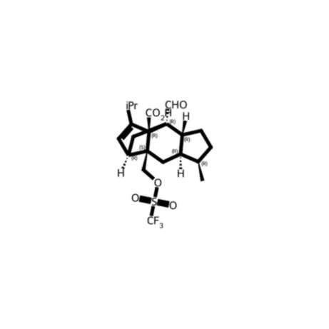 CC(C)C1=C[C@H]2C[C@@]3(C=O)[C@@H]4CC[C@@H](C)[C@H]4C[C@@]2(COS(=O)(=O)C(F)(F)F)[C@]13C(=O)O